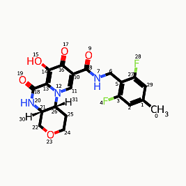 Cc1cc(F)c(CNC(=O)c2cn3c(c(O)c2=O)C(=O)N[C@H]2COCC[C@H]23)c(F)c1